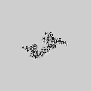 COC(=O)N[C@H](C(=O)N1CCN(C(=O)OC)C[C@H]1c1ncc(-c2ccc(-c3ccc4cc(-c5cnc([C@@H]6CCCN6C(=O)[C@@H](NC(=O)OC)C6CCOCC6)[nH]5)ccc4n3)cc2)[nH]1)C(C)C